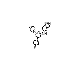 Fc1ccc(-c2cc(Nc3ccc4[nH]ncc4c3)nc(N3CCOCC3)n2)cc1